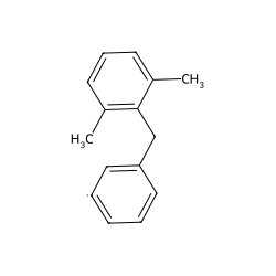 Cc1cccc(C)c1Cc1c[c]ccc1